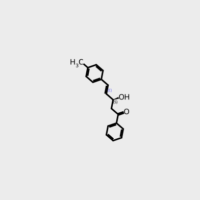 Cc1ccc(/C=C/[C@@H](O)CC(=O)c2ccccc2)cc1